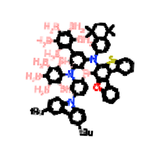 Bc1c(B)c(B)c(-c2cc3c4c(c2)N(c2ccc5c(c2)C(C)(C)CCC5(C)C)c2c(c5oc6ccccc6c5c5c2sc2ccccc25)B4c2ccc(-n4c5ccc(C(C)(C)C)cc5c5cc(C(C)(C)C)ccc54)cc2N3c2c(B)c(B)c(B)c(B)c2B)c(B)c1B